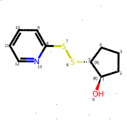 O[C@@H]1CCC[C@H]1SSc1ccccn1